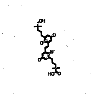 CC(C)(CO)CCCc1cc(=O)cc(/C=C/c2cc(=O)cc(CCCC(C)(C)C(=O)O)[s+]2[O-])[s+]1[O-]